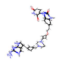 Cn1c(=O)n(C2CCC(=O)NC2=O)c2ccc(CCOC3CC(N4CCN(Cc5ccc(-c6c[nH]c7nc(N)ncc67)cc5)CC4)C3)cc21